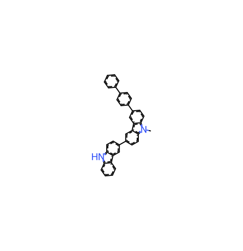 Cn1c2ccc(-c3ccc(-c4ccccc4)cc3)cc2c2cc(-c3ccc4[nH]c5ccccc5c4c3)ccc21